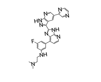 CN(C)CCNc1cc(F)cc(-c2ccnc3[nH]c(-c4n[nH]c5ncc(-c6cnccn6)cc45)nc23)c1